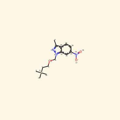 Cc1nn(COCC[Si](C)(C)C)c2cc([N+](=O)[O-])ccc12